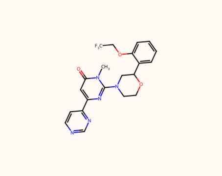 Cn1c(N2CCOC(c3ccccc3OCC(F)(F)F)C2)nc(-c2ccncn2)cc1=O